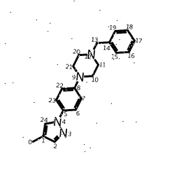 Cc1cnn(-c2ccc(N3CCN(Cc4ccccc4)CC3)cc2)c1